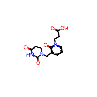 O=C(O)CCn1cccc(CN2CCC(=O)NC2=O)c1=O